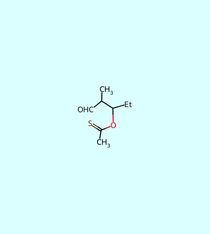 CCC(OC(C)=S)C(C)C=O